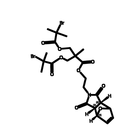 CC(C)(Br)C(=O)OCC(C)(COC(=O)C(C)(C)Br)C(=O)OCCN1C(=O)[C@@H]2[C@H](C1=O)C1C=C[C@H]2O1